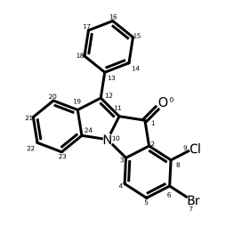 O=C1c2c(ccc(Br)c2Cl)-n2c1c(-c1ccccc1)c1ccccc12